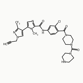 C#CCn1cc(-c2cnc(C(=O)Nc3ccc(C(=O)N4CCN(C(=O)N5CCNCC5)CC4)c(Cl)c3)n2C)c(C(F)(F)F)n1